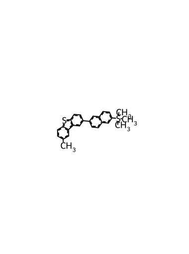 Cc1ccc2sc3ccc(-c4ccc5cc(S(C)(C)C)ccc5c4)cc3c2c1